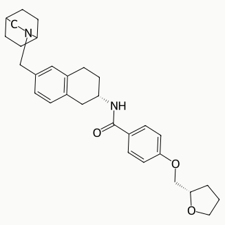 O=C(N[C@H]1CCc2cc(CN3CC4CCC3CC4)ccc2C1)c1ccc(OC[C@@H]2CCCO2)cc1